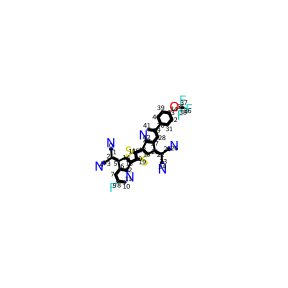 N#CC(C#N)=C1c2cc(F)cnc2-c2c1sc1c3c(sc21)C(=C(C#N)C#N)c1cc(-c2ccc(OC(F)(F)F)cc2)cnc1-3